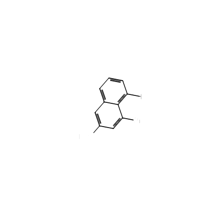 Cc1cc(Br)c2c(I)cccc2c1